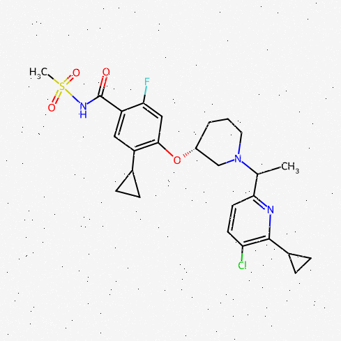 CC(c1ccc(Cl)c(C2CC2)n1)N1CCC[C@@H](Oc2cc(F)c(C(=O)NS(C)(=O)=O)cc2C2CC2)C1